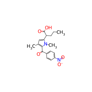 CCCC(C(=O)O)c1cc(C)c(C(=O)c2ccc([N+](=O)[O-])cc2)n1C